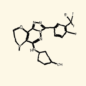 CN1CCOc2c1c(NC1CCC(O)CC1)nn1c(-c3ccc(F)c(C(F)(F)F)c3)nnc21